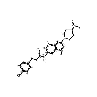 Cc1nc(N2CCC(N(C)C)CC2)nc2ncc(NC(=O)CCc3ccc(Cl)cc3)cc12